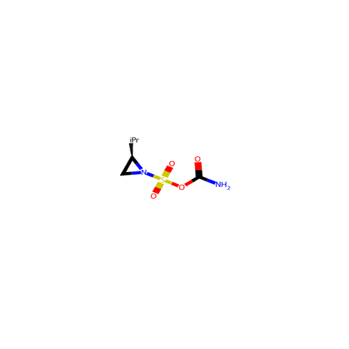 CC(C)[C@@H]1CN1S(=O)(=O)OC(N)=O